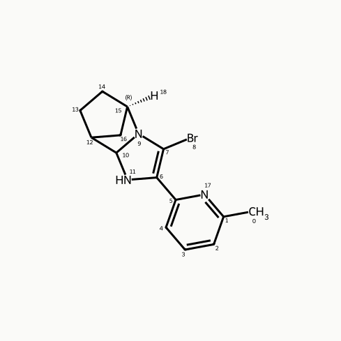 Cc1cccc(C2=C(Br)N3C(N2)C2CC[C@@H]3C2)n1